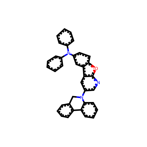 c1ccc(N(c2ccccc2)c2ccc3oc4ncc(N5Cc6ccccc6-c6ccccc65)cc4c3c2)cc1